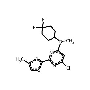 Cc1csc(-c2nc(Cl)cc(N(C)C3CCC(F)(F)CC3)n2)n1